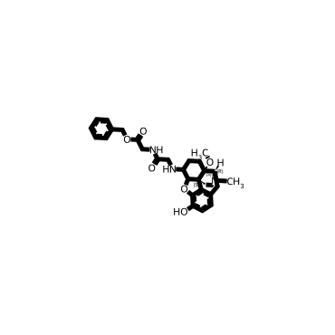 CO[C@@]12CCC(NCC(=O)NCC(=O)OCc3ccccc3)C3Oc4c(O)ccc5c4[C@@]31CCN(C)[C@@H]2C5